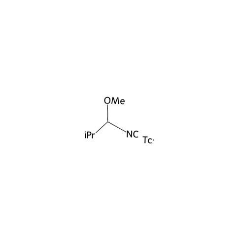 [C-]#[N+]C(OC)C(C)C.[Tc]